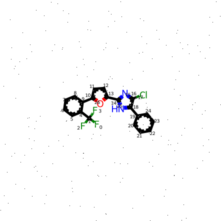 FC(F)(F)c1ccccc1-c1ccc(-c2nc(Cl)c(-c3ccccc3)[nH]2)o1